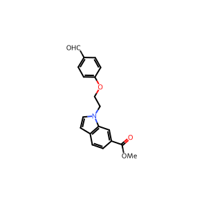 COC(=O)c1ccc2ccn(CCOc3ccc(C=O)cc3)c2c1